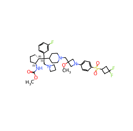 COC(=O)N[C@H]1CCC[C@@H]1[C@](CN1CCC1)(c1cccc(F)c1)C1CCN(CC2(OC)CN(c3ccc(S(=O)(=O)C4CC(F)(F)C4)cc3)C2)CC1